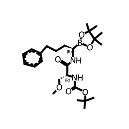 COC[C@@H](NC(=O)OC(C)(C)C)C(=O)N[C@@H](CCCc1ccccc1)B1OC(C)(C)C(C)(C)O1